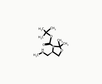 CNC[C@@H]1COC(C)(C)N1C(=O)OC(C)(C)C